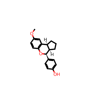 COc1ccc2c(c1)[C@H]1CCC[C@H]1[C@@H](c1ccc(O)cc1)O2